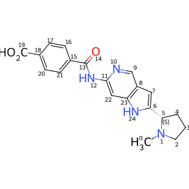 CN1CCC[C@H]1c1cc2cnc(NC(=O)c3ccc(C(=O)O)cc3)cc2[nH]1